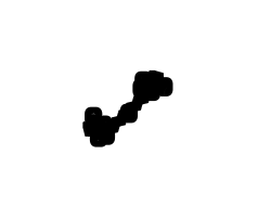 O=C(CCCCOCCCCC(=O)ON1C(=O)CCC1=O)ON1C(=O)CCC1=O